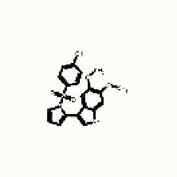 COc1cc2[nH]cc(-c3cccn3S(=O)(=O)c3ccc(C)cc3)c2cc1OC